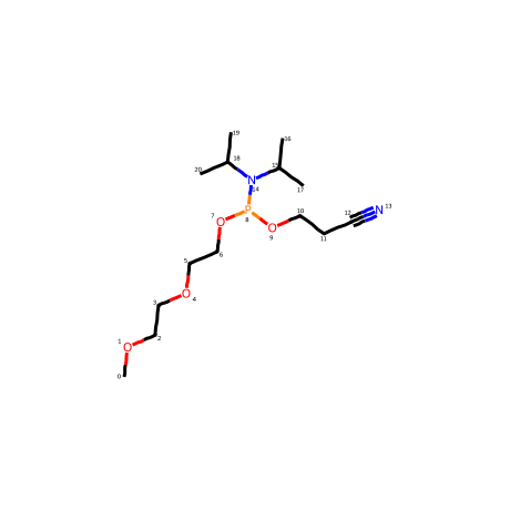 COCCOCCOP(OCCC#N)N(C(C)C)C(C)C